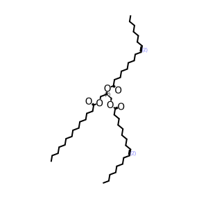 CCCCCC/C=C\CCCCCCCC(=O)O[C@@H](COC(=O)CCCCCCC/C=C\CCCCCCC)COC(=O)CCCCCCCCCCCCC